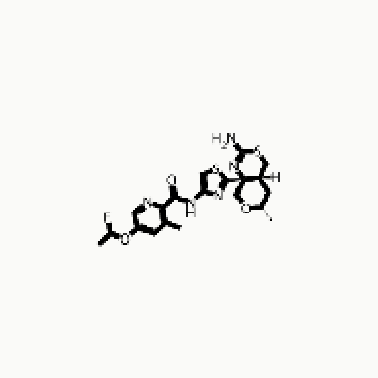 Cc1cc(OC(C)F)cnc1C(=O)Nc1csc([C@]23CO[C@@H](C)C[C@H]2CSC(N)=N3)n1